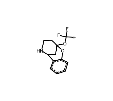 FC(F)(F)OC12CCNC(C1)c1ccccc1O2